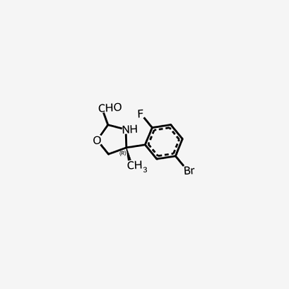 C[C@@]1(c2cc(Br)ccc2F)COC(C=O)N1